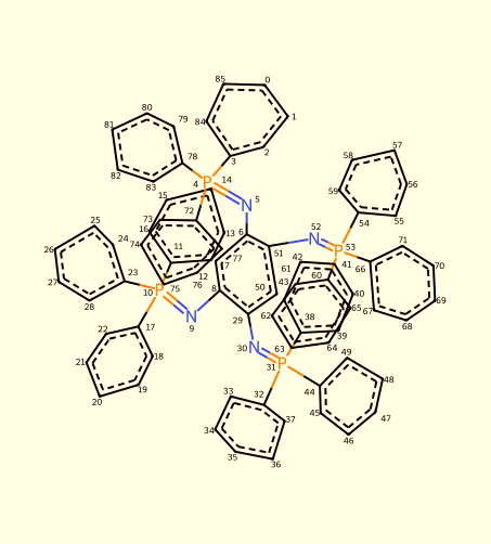 c1ccc(P(=Nc2cc(N=P(c3ccccc3)(c3ccccc3)c3ccccc3)c(N=P(c3ccccc3)(c3ccccc3)c3ccccc3)cc2N=P(c2ccccc2)(c2ccccc2)c2ccccc2)(c2ccccc2)c2ccccc2)cc1